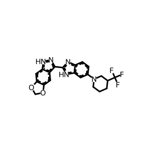 FC(F)(F)C1CCCN(c2ccc3nc(-c4n[nH]c5cc6c(cc45)OCO6)[nH]c3c2)C1